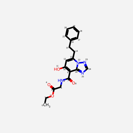 CCOC(=O)CNC(=O)c1c(O)cc(CCc2ccccc2)n2ncnc12